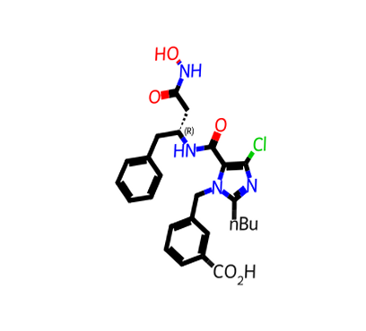 CCCCc1nc(Cl)c(C(=O)N[C@@H](CC(=O)NO)Cc2ccccc2)n1Cc1cccc(C(=O)O)c1